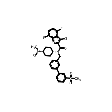 CN(Cl)[C@H]1CC[C@H](N(Cc2cccc(-c3cccc(S(C)(=O)=O)c3)c2)C(=O)c2sc3c(F)ccc(F)c3c2Cl)CC1